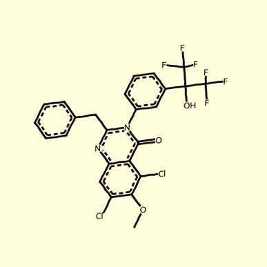 COc1c(Cl)cc2nc(Cc3ccccc3)n(-c3cccc(C(O)(C(F)(F)F)C(F)(F)F)c3)c(=O)c2c1Cl